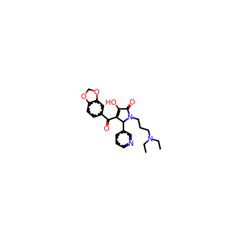 CCN(CC)CCCN1C(=O)C(O)=C(C(=O)c2ccc3c(c2)OCO3)C1c1cccnc1